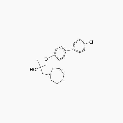 CC(O)(COc1ccc(-c2ccc(Cl)cc2)cc1)CN1CCCCCC1